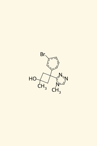 Cn1cnnc1C1(c2cccc(Br)c2)CC(C)(O)C1